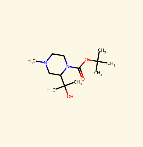 CN1CCN(C(=O)OC(C)(C)C)C(C(C)(C)O)C1